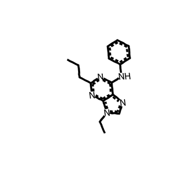 CCCc1nc(Nc2ccccc2)c2ncn(CC)c2n1